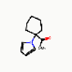 COC(=O)C1(n2cccc2)CCCCC1